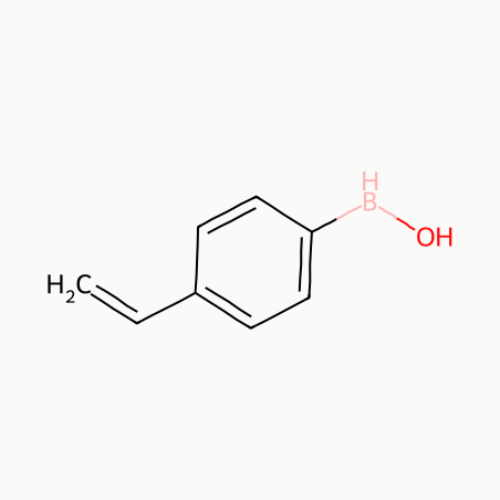 C=Cc1ccc(BO)cc1